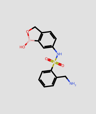 NCc1ccccc1S(=O)(=O)Nc1ccc2c(c1)B(O)OC2